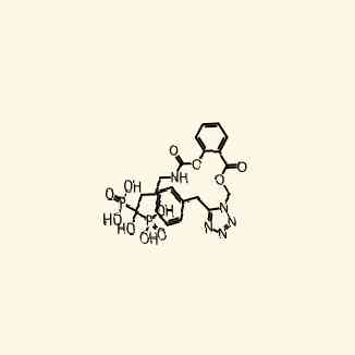 O=C(NCCCC(O)(P(=O)(O)O)P(=O)(O)O)Oc1ccccc1C(=O)OCn1nnnc1Cc1ccccc1